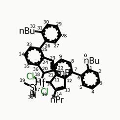 CCCCc1ccccc1-c1cccc2c1C=C(CCC)[CH]2[Hf]([Cl])([Cl])([CH]1C(CCC)=Cc2c(-c3ccccc3CCCC)cccc21)[SiH](C)C